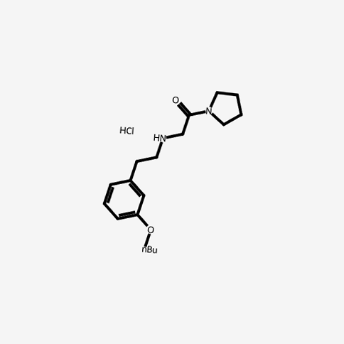 CCCCOc1cccc(CCNCC(=O)N2CCCC2)c1.Cl